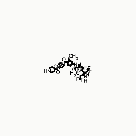 CCc1cc(NC(=O)c2ncc(-c3c(C(F)(F)F)n[nH]c3CC(F)F)n2C)ccc1C(=O)N1CCN(C(=O)C2(O)CCNCC2)CC1